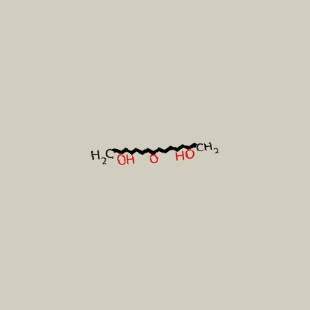 C=CC(O)CCCCCC(=O)CCCCCC(O)C=C